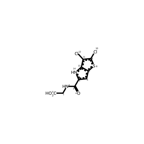 O=C(O)CNC(=O)c1cc2sc(Cl)c(Cl)c2[nH]1